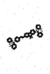 CC1(C)c2cc(/C=C/c3ccc(N4c5ccccc5Sc5ccccc54)cc3)ccc2-c2ccc(N3C4=C(CCC=C4)Sc4ccccc43)cc21